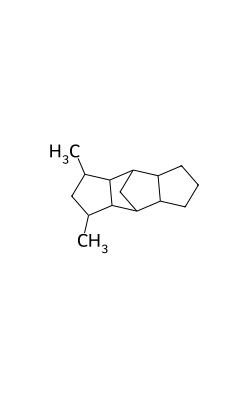 CC1CC(C)C2C3CC(C4CCCC43)C12